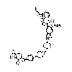 CC(C)Oc1cc2nn([C@H]3CC[C@H](CN4CCC(c5ccc(OC6CCC(=O)NC6=O)cc5)CC4)CC3)cc2cc1C(=O)Nc1cccn([C@H]2C[C@H]2F)c1=O